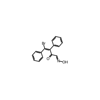 O=C(C=NO)C(=C(Br)c1ccccc1)c1ccccc1